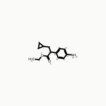 CCOC(=O)C(CC1CC1)c1ccc(N)cc1